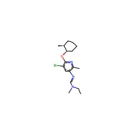 CCN(C)/C=N/c1cc(Br)c(O[C@@H]2CCCC[C@@H]2C)nc1C